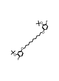 CC(C)(C)Oc1cc(OCCCCCCCCCCOc2ccc(F)c(OC(C)(C)C)c2)ccc1F